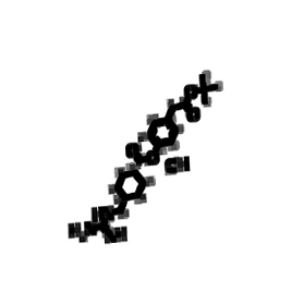 CC(C)(C)OC(=O)Cc1ccc(OC(=O)[C@H]2CC[C@H](CNC(=N)N)CC2)cc1.Cl